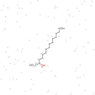 CCCCCCCCCCCCCCCCCCCCCC[C@@H](O)C(=O)O